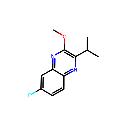 COc1nc2cc(F)ccc2nc1C(C)C